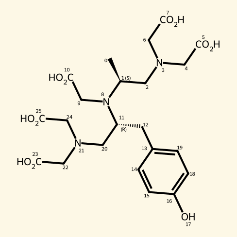 C[C@@H](CN(CC(=O)O)CC(=O)O)N(CC(=O)O)[C@H](Cc1ccc(O)cc1)CN(CC(=O)O)CC(=O)O